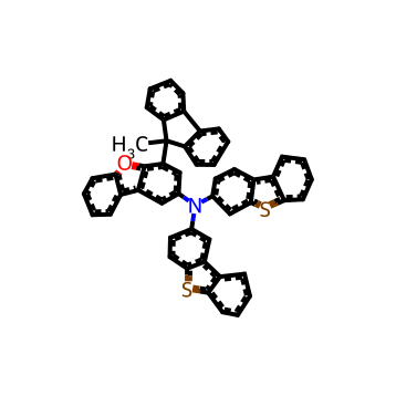 CC1(c2cc(N(c3ccc4c(c3)sc3ccccc34)c3ccc4sc5ccccc5c4c3)cc3c2oc2ccccc23)c2ccccc2-c2ccccc21